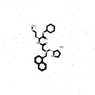 CSCC[C@H](NC(=O)CN(Cc1cccc2ccccc12)C[C@@H]1CCCN1)C(=O)OC1CCCCC1.Cl